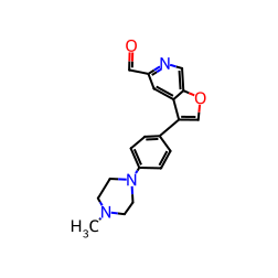 CN1CCN(c2ccc(-c3coc4cnc(C=O)cc34)cc2)CC1